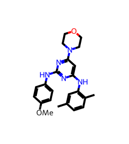 COc1ccc(Nc2nc(Nc3cc(C)ccc3C)cc(N3CCOCC3)n2)cc1